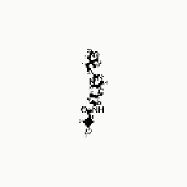 COC12CC(C(=O)Nc3ncc(Oc4cnc(N5CCC6(CCOC6)C5)nc4)s3)(C1)C2